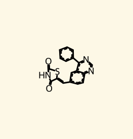 O=C1NC(=O)C(=Cc2ccc3ncnc(-c4ccccc4)c3c2)S1